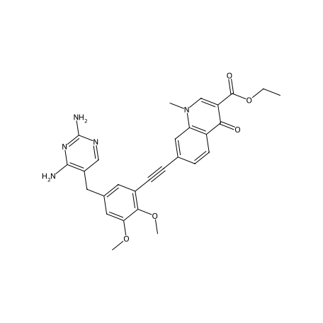 CCOC(=O)c1cn(C)c2cc(C#Cc3cc(Cc4cnc(N)nc4N)cc(OC)c3OC)ccc2c1=O